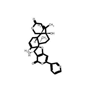 C=C(C)[C@]1(O)CC[C@]2(C)[C@H](CC=C(C)[C@]23Oc2cc(-c4cccnc4)oc(=O)c2[C@@H]3O)[C@@]12CCC(=O)OC2